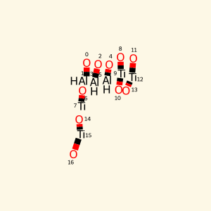 [O]=[AlH].[O]=[AlH].[O]=[AlH].[O]=[Ti].[O]=[Ti]=[O].[O]=[Ti]=[O].[O]=[Ti]=[O]